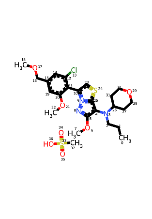 CCCN(c1c(OC)nn2c(-c3c(Cl)cc(COC)cc3OC)csc12)C1CCOCC1.CS(=O)(=O)O